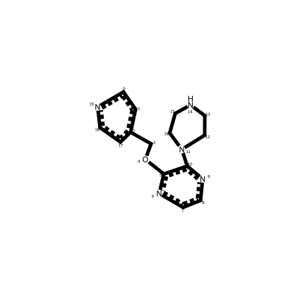 c1cc(COc2nccnc2N2CCNCC2)ccn1